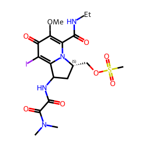 CCNC(=O)c1c(OC)c(=O)c(I)c2n1[C@H](COS(C)(=O)=O)CC2NC(=O)C(=O)N(C)C